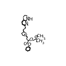 COC(C)COC(CCN1CCC(CCc2ccc3c(n2)NCCC3)C1)C(=O)Oc1ccccc1